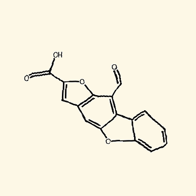 O=Cc1c2oc(C(=O)O)cc2cc2oc3ccccc3c12